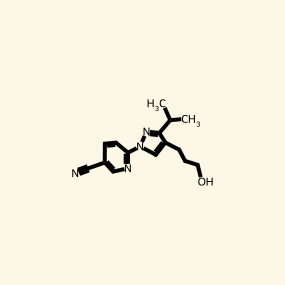 CC(C)c1nn(-c2ccc(C#N)cn2)cc1CCCO